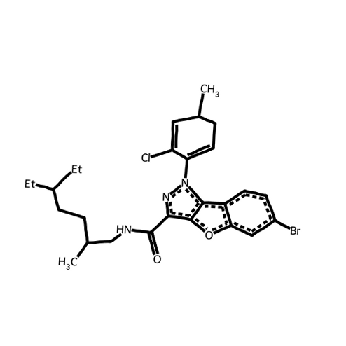 CCC(CC)CCC(C)CNC(=O)c1nn(C2=CCC(C)C=C2Cl)c2c1oc1cc(Br)ccc12